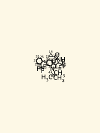 CC(C)(C)Cn1cc([C@H](NS(=O)(=O)C2CC2)C(F)(F)F)c2ccc(-c3ccccc3C(F)(F)F)cc21